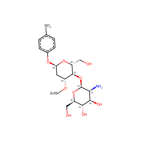 CC(=O)NO[C@@H]1C[C@@H](Oc2ccc([N+](=O)[O-])cc2)O[C@H](CO)[C@H]1O[C@@H]1O[C@H](CO)[C@@H](O)[C@H](O)[C@@H]1N